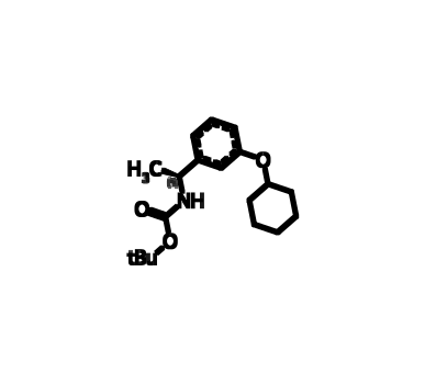 C[C@H](NC(=O)OC(C)(C)C)c1cccc(OC2CCCCC2)c1